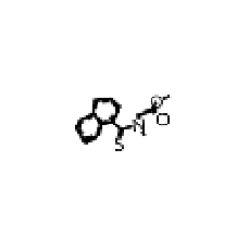 COC(=O)CN(C)C(=S)c1cccc2ccccc12